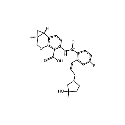 CC1(O)CCN(C/C=C\c2cc(F)ccc2[S+]([O-])Nc2ccc3c(c2C(=O)O)OC[C@@H]2C[C@H]32)C1